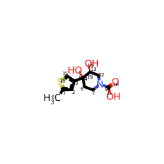 Cc1cc([C@@]2(O)CCN(C(=O)O)C[C@@H]2O)cs1